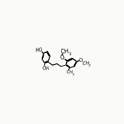 COc1cc(C)c(CCCc2ccc(O)cc2O)c(OC)c1